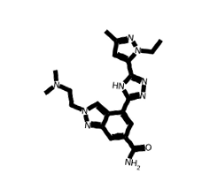 CCn1nc(C)cc1-c1nnc(-c2cc(C(N)=O)cc3nn(CCN(C)C)cc23)[nH]1